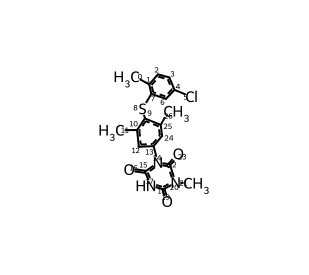 Cc1ccc(Cl)cc1Sc1c(C)cc(-n2c(=O)[nH]c(=O)n(C)c2=O)cc1C